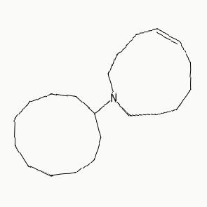 C1=CCCCN(C2CCCCCCCCCC2)CCCCC1